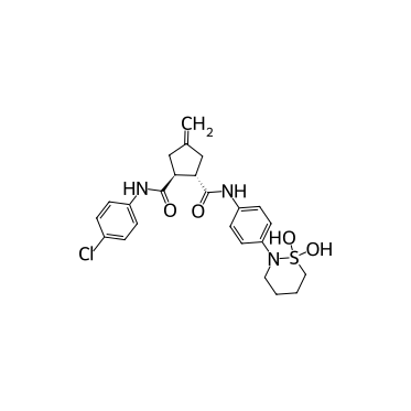 C=C1C[C@H](C(=O)Nc2ccc(Cl)cc2)[C@@H](C(=O)Nc2ccc(N3CCCCS3(O)O)cc2)C1